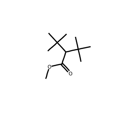 COC(=O)C(C(C)(C)C)C(C)(C)C